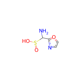 NC(c1ncco1)S(=O)O